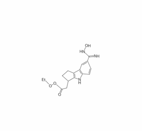 CCOOC(=O)CC1CCc2c1[nH]c1ccc(C(=N)NO)cc21